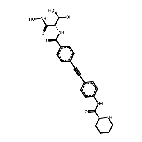 C[C@@H](O)[C@H](NC(=O)c1ccc(C#Cc2ccc(NC(=O)[C@@H]3CCCCN3)cc2)cc1)C(=O)NO